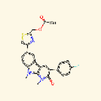 Cn1c(=O)c(-c2ccc(F)cc2)cc2c3cc(-c4csc(COC(=O)C(C)(C)C)n4)ccc3n(C)c21